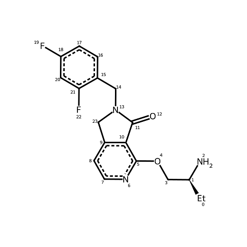 CC[C@H](N)COc1nccc2c1C(=O)N(Cc1ccc(F)cc1F)C2